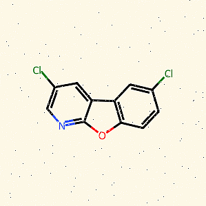 Clc1ccc2oc3ncc(Cl)cc3c2c1